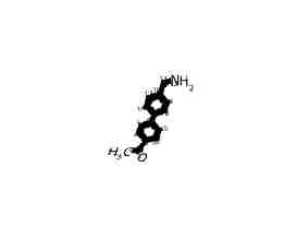 CC(=O)c1ccc(-c2ccc(CN)cc2)cc1